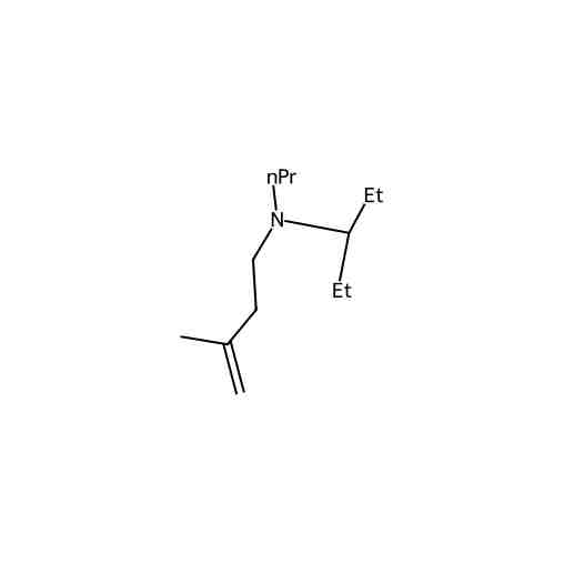 C=C(C)CCN(CCC)C(CC)CC